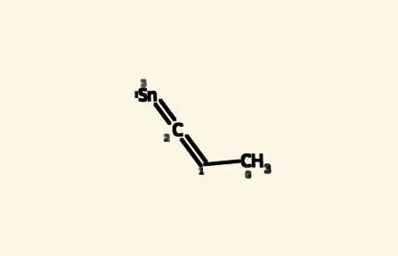 CC=[C]=[Sn]